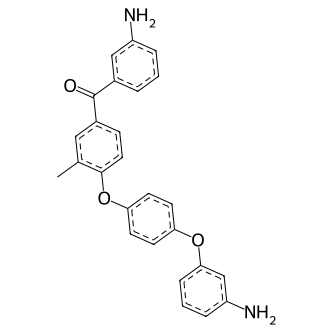 Cc1cc(C(=O)c2cccc(N)c2)ccc1Oc1ccc(Oc2cccc(N)c2)cc1